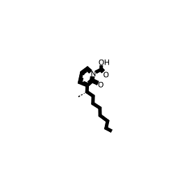 CCCCCCC[C@H](C)c1cccn(C(=O)O)c1=O